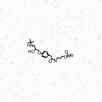 CN(CCCO[N+](=O)[O-])C(=O)Cc1ccc(OCC(O)CNC(C)(C)C)cc1